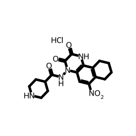 Cl.O=C(Nn1c(=O)c(=O)[nH]c2c3c(c([N+](=O)[O-])cc21)CCCC3)C1CCNCC1